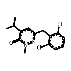 CC(C)c1cc(Cc2c(Cl)c[c]cc2Cl)nn(C)c1=O